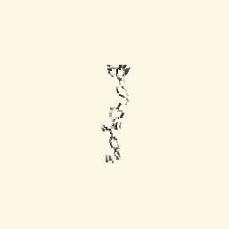 CC(C)(C)Oc1ccc(C(=O)N[C@H]2CC[C@H](CCN3CCN(c4nccc5c4CCO5)CC3)CC2)cc1